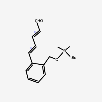 CC(C)(C)[Si](C)(C)OCc1ccccc1/C=C/C=C/C=O